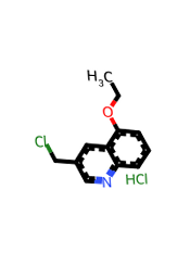 CCOc1cccc2ncc(CCl)cc12.Cl